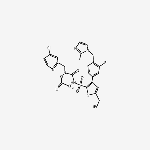 Cc1nccn1Cc1ccc(-c2cc(CC(C)C)sc2S(=O)(=O)NC(=O)N(Cc2cc(Cl)ccn2)OC(=O)C(F)(F)F)cc1F